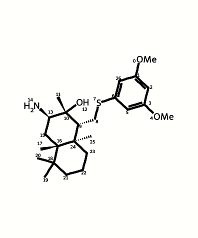 COc1cc(OC)cc(SC[C@H]2[C@@](C)(O)[C@H](N)C[C@@]3(C)C(C)(C)CCC[C@]23C)c1